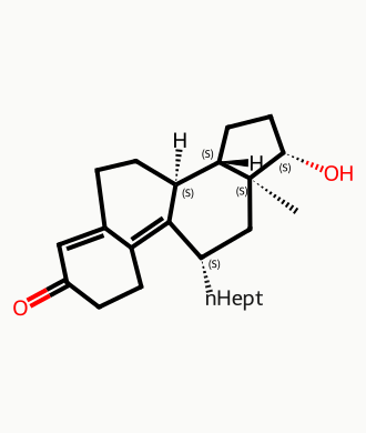 CCCCCCC[C@H]1C[C@]2(C)[C@@H](O)CC[C@H]2[C@@H]2CCC3=CC(=O)CCC3=C12